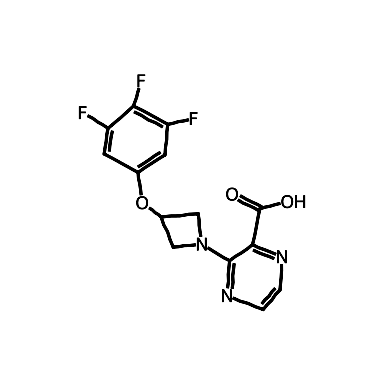 O=C(O)c1nccnc1N1CC(Oc2cc(F)c(F)c(F)c2)C1